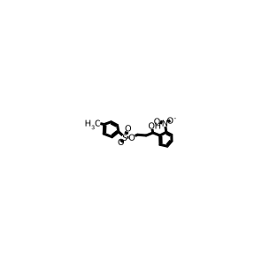 Cc1ccc(S(=O)(=O)OCCC(O)c2ccccc2[N+](=O)[O-])cc1